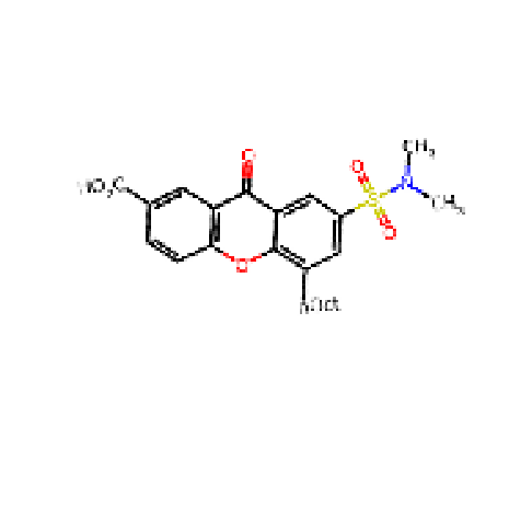 CCCCCCCCc1cc(S(=O)(=O)N(C)C)cc2c(=O)c3cc(C(=O)O)ccc3oc12